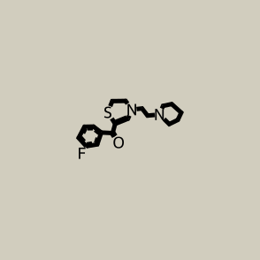 O=C(C1=CN(CCN2CCCCC2)CCS1)c1cccc(F)c1